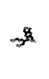 CCOC[C@H](CC)Nc1nc(CC)c(Br)nc1CC